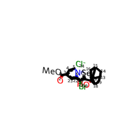 COC(=O)c1cc[n+]2[se]c(C3(O)C4CC5CC(C4)CC3C5)c(Br)c2c1.[Cl-]